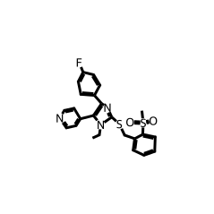 CCn1c(SCc2ccccc2S(C)(=O)=O)nc(-c2ccc(F)cc2)c1-c1ccncc1